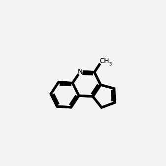 Cc1nc2ccccc2c2c1C=CC2